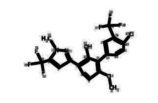 COc1ccc(-c2cc(C(F)(F)F)n(C)n2)c(O)c1-c1ccc(Cl)c(C(F)(F)F)c1